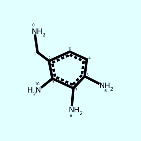 NCc1ccc(N)c(N)c1N